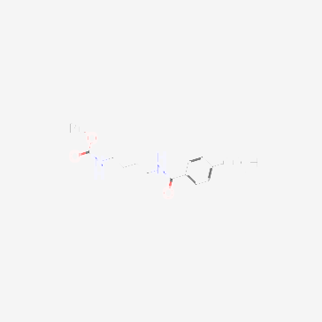 CC(C)(C)OC(=O)NCCCCNC(=O)c1ccc(C(=O)O)cc1